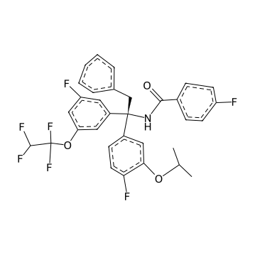 CC(C)Oc1cc([C@@](Cc2ccccc2)(NC(=O)c2ccc(F)cc2)c2cc(F)cc(OC(F)(F)C(F)F)c2)ccc1F